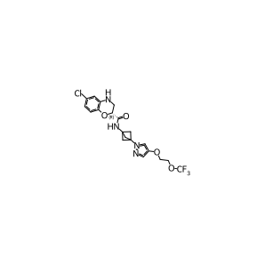 O=C(NC12CC(n3cc(OCCOC(F)(F)F)cn3)(C1)C2)[C@H]1CNc2cc(Cl)ccc2O1